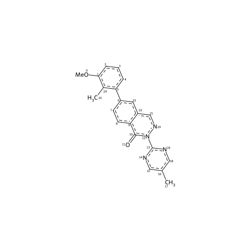 COc1cccc(-c2ccc3c(=O)n(-c4ncc(C)cn4)ncc3c2)c1C